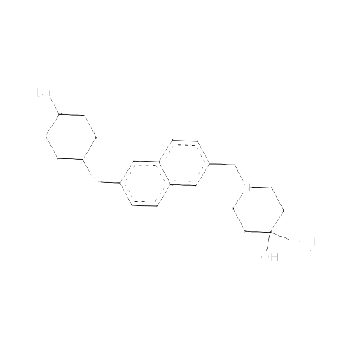 CC(C)(C)C1CCC(Oc2ccc3cc(CN4CCC(O)(C(=O)O)CC4)ccc3c2)CC1